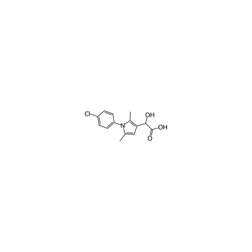 Cc1cc(C(O)C(=O)O)c(C)n1-c1ccc(Cl)cc1